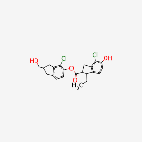 CCC1c2ccc(O)c(Cl)c2CC1C(=O)Oc1ccc2c(c1Cl)CC(CO)C2